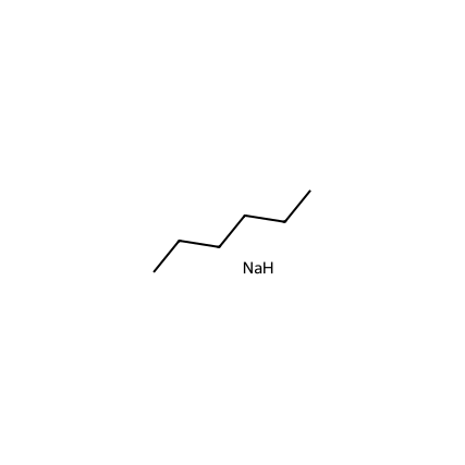 CCCCCC.[NaH]